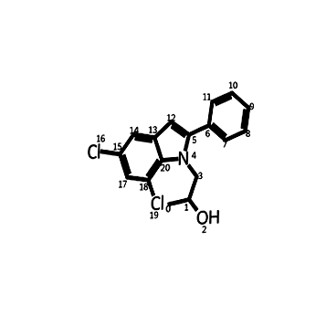 CC(O)Cn1c(-c2ccccc2)cc2cc(Cl)cc(Cl)c21